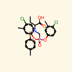 CCC(C(=O)O)N(CP(=O)(Oc1ccc(Cl)c(C)c1)Oc1ccc(Cl)c(C)c1)Sc1ccc(C)cc1